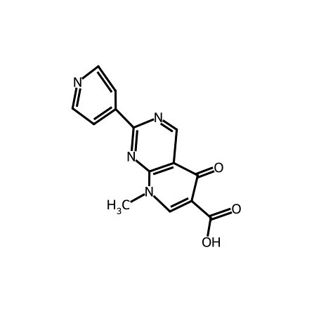 Cn1cc(C(=O)O)c(=O)c2cnc(-c3ccncc3)nc21